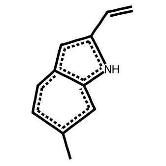 C=Cc1cc2ccc(C)cc2[nH]1